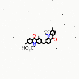 Cc1ccc2c(=O)c3ccc(Cc4cc(C)c5c(=O)c6ccc(C)cc6n(CC(=O)O)c5c4)cc3n(CC(=O)O)c2c1